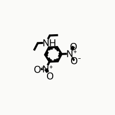 CCNCC.O=[N+]([O-])c1cccc([N+](=O)[O-])c1